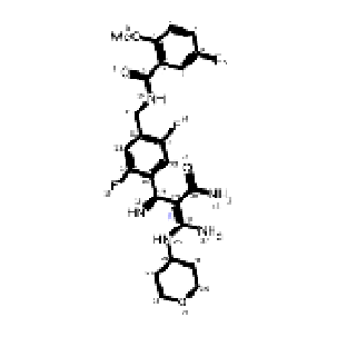 COc1ccc(F)cc1C(=O)NCc1cc(F)c(C(=N)/C(C(N)=O)=C(/N)NC2CCOCC2)cc1F